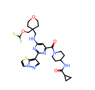 O=C(NC1CCN(C(=O)c2cc(NCC3(COC(F)F)CCOCC3)nc(-c3cnn4ccsc34)n2)CC1)C1CC1